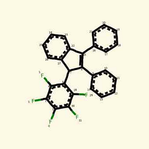 Fc1c(F)c(F)c(C2C(c3ccccc3)=C(c3ccccc3)c3ccccc32)c(F)c1F